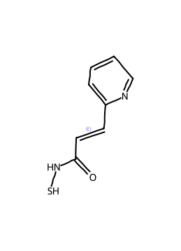 O=C(/C=C/c1ccccn1)NS